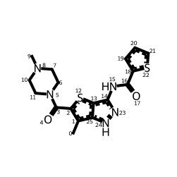 Cc1c(C(=O)N2CCN(C)CC2)sc2c(NC(=O)c3cccs3)n[nH]c12